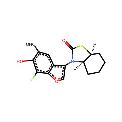 O=Cc1cc2c(N3C(=O)S[C@H]4CCCC[C@H]43)coc2c(F)c1O